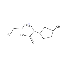 CCC/C=C\C(C(=O)O)C1CCC(O)C1